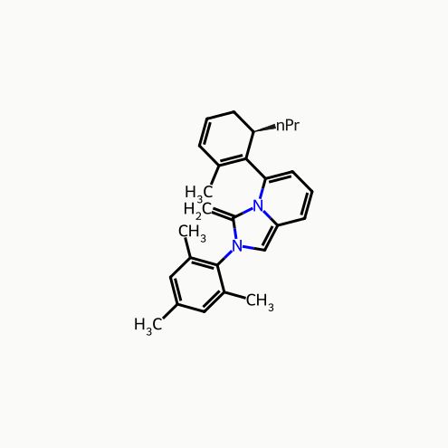 C=C1N2C(=CN1c1c(C)cc(C)cc1C)C=CC=C2C1=C(C)C=CC[C@H]1CCC